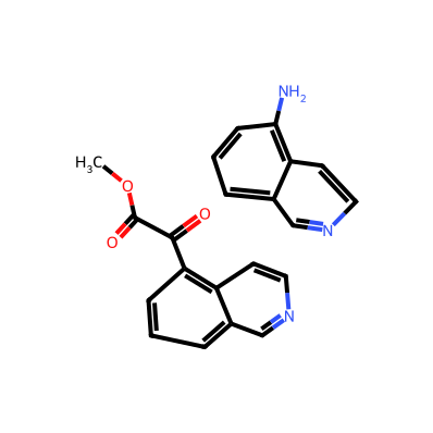 COC(=O)C(=O)c1cccc2cnccc12.Nc1cccc2cnccc12